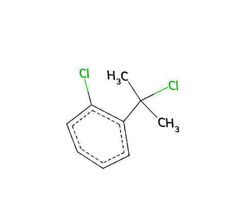 CC(C)(Cl)c1ccccc1Cl